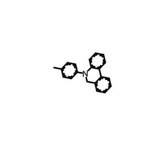 Cc1ccc(N2Cc3ccccc3-c3ccccc32)cc1